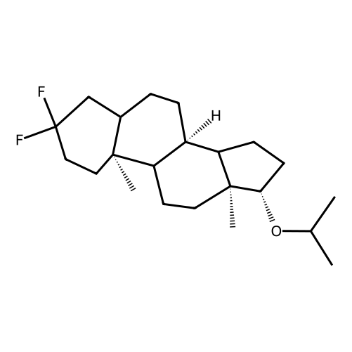 CC(C)O[C@H]1CCC2[C@@H]3CCC4CC(F)(F)CC[C@]4(C)C3CC[C@@]21C